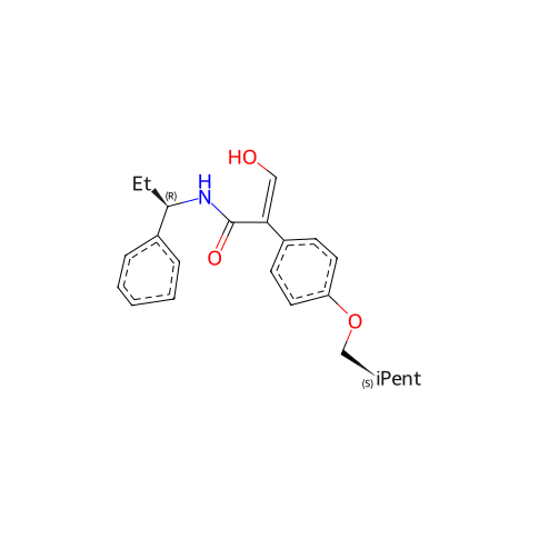 CCC[C@H](C)COc1ccc(C(=CO)C(=O)N[C@H](CC)c2ccccc2)cc1